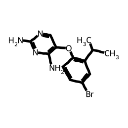 CC(C)c1cc(Br)ccc1Oc1cnc(N)nc1N